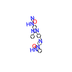 CN(C)CC(=O)Nc1ccc2nc(-c3ccc(CN4CCC(n5c(=O)[nH]c6ccccc65)CC4)cc3)c(-c3ccccc3)nc2c1